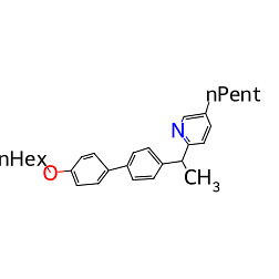 CCCCCCOc1ccc(-c2ccc(C(C)c3ccc(CCCCC)cn3)cc2)cc1